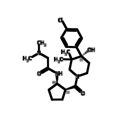 CN(C)CC(=O)N[C@@H]1CCC[C@@H]1C(=O)N1CC[C@](O)(c2ccc(Cl)cc2)C(C)(C)C1